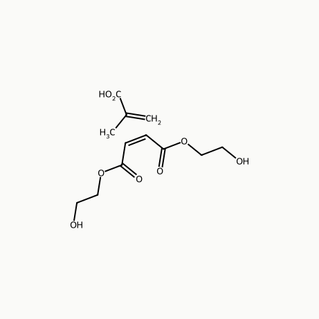 C=C(C)C(=O)O.O=C(/C=C\C(=O)OCCO)OCCO